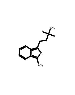 Cc1oc(CCC(C)(F)F)c2ccccc12